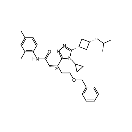 Cc1ccc(NC(=O)C[C@H](CCOCc2ccccc2)c2nnc([C@H]3C[C@@H](CC(C)C)C3)n2C2CC2)c(C)c1